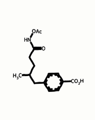 CC(=O)ONC(=O)CCC(C)Cc1ccc(C(=O)O)cc1